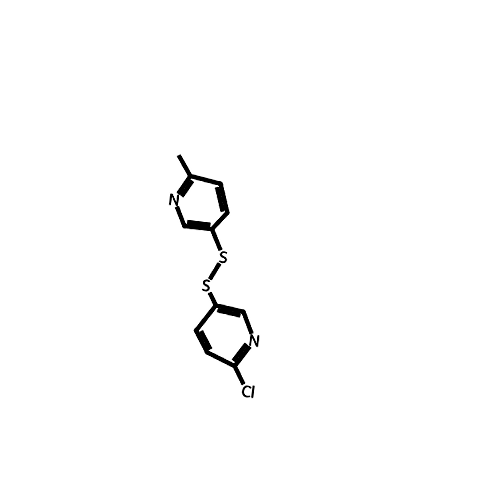 Cc1ccc(SSc2ccc(Cl)nc2)cn1